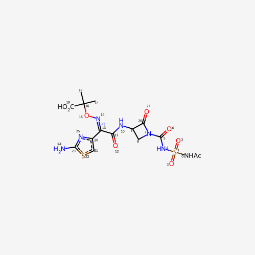 CC(=O)NS(=O)(=O)NC(=O)N1CC(NC(=O)/C(=N/OC(C)(C)C(=O)O)c2csc(N)n2)C1=O